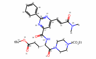 CCOC(=O)N1CCN(C(=O)[C@H](CCC(=O)OC(C)(C)C)NC(=O)c2cc(C=CC(=O)N(C)C)nc(-c3ccccc3)n2)CC1